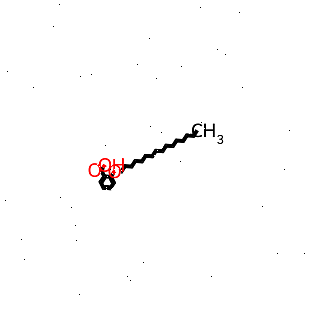 CCCCCCCCCCCCCCCCOc1ccccc1C(=O)O